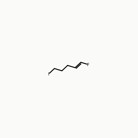 FC=CCCCI